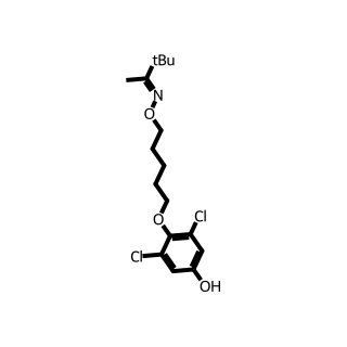 CC(=NOCCCCCOc1c(Cl)cc(O)cc1Cl)C(C)(C)C